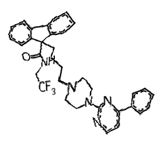 O=C(NCC(F)(F)F)C1(CCCCN2CCN(c3nccc(-c4ccccc4)n3)CC2)c2ccccc2-c2ccccc21